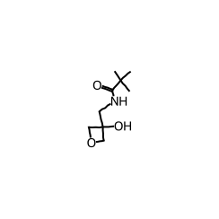 CC(C)(C)C(=O)NCC1(O)COC1